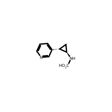 O=C(O)N[C@@H]1C[C@H]1c1cccnc1